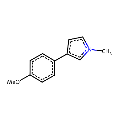 COc1ccc(-c2ccn(C)c2)cc1